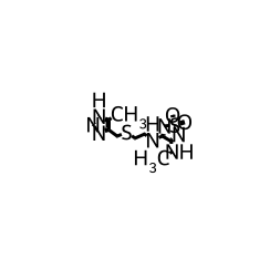 CNC1=NS(=O)(=O)N=C1NCCSCc1nn[nH]c1C